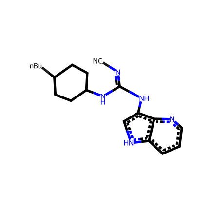 CCCCC1CCC(N/C(=N\C#N)Nc2c[nH]c3cccnc23)CC1